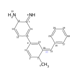 CC1C=CC(C2=CC(=N)C(N)C=C2)=C/C1=C\c1ccccc1